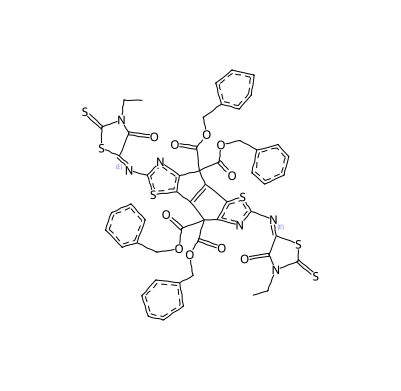 CCN1C(=O)/C(=N\c2nc3c(s2)C2=C(c4sc(/N=C5/SC(=S)N(CC)C5=O)nc4C2(C(=O)OCc2ccccc2)C(=O)OCc2ccccc2)C3(C(=O)OCc2ccccc2)C(=O)OCc2ccccc2)SC1=S